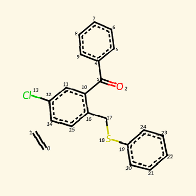 C=C.O=C(c1ccccc1)c1cc(Cl)ccc1CSc1ccccc1